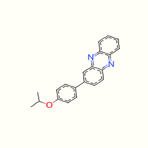 CC(C)Oc1ccc(-c2ccc3nc4ccccc4nc3c2)cc1